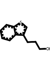 OCCCc1csc2ccccc12